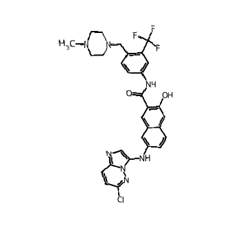 CN1CCN(Cc2ccc(NC(=O)c3cc4cc(Nc5cnc6ccc(Cl)nn56)ccc4cc3O)cc2C(F)(F)F)CC1